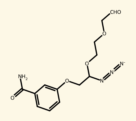 [N-]=[N+]=NC(COc1cccc(C(N)=O)c1)OCCOCC=O